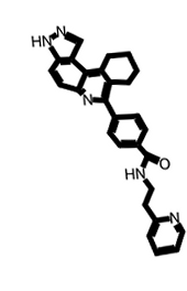 O=C(NCCc1ccccn1)c1ccc(-c2nc3ccc4[nH]ncc4c3c3c2CCCC3)cc1